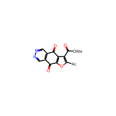 COC(=O)c1c(C(C)=O)oc2c1C(=O)c1cnncc1C2=O